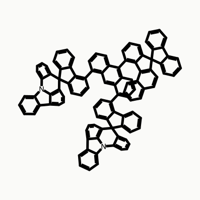 c1ccc2c(c1)-c1ccccc1C21c2cccc(-c3c4cccc(-c5cccc6c5-c5ccccc5C65c6ccccc6-n6c7ccccc7c7cccc5c76)c4cc4c(-c5cccc6c5-c5ccccc5C65c6ccccc6-n6c7ccccc7c7cccc5c76)cccc34)c2-c2c1ccc1ccccc21